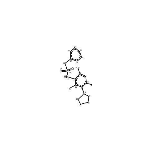 Cc1cc(C)c(N2CCCC2)c(C)c1NS(=O)(=O)Cc1ccccc1